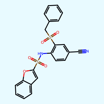 N#Cc1ccc(NS(=O)(=O)c2cc3ccccc3o2)c(S(=O)(=O)Cc2ccccc2)c1